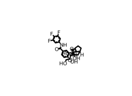 O=C(Nc1cc(F)c(F)c(F)c1)c1ccc(Cl)c(S(=O)(=O)[C@H]2C3CC[C@H]2C[C@](O)(C(O)C(O)CO)C3)c1